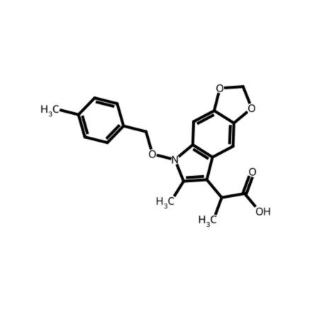 Cc1ccc(COn2c(C)c(C(C)C(=O)O)c3cc4c(cc32)OCO4)cc1